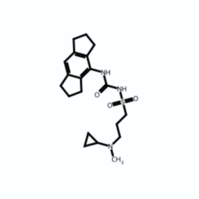 CN(CCCS(=O)(=O)NC(=O)Nc1c2c(cc3c1CCC3)CCC2)C1CC1